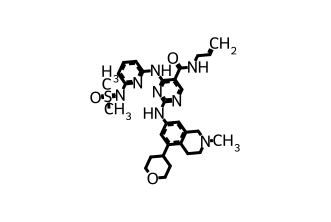 C=CCNC(=O)c1cnc(Nc2cc3c(c(C4CCOCC4)c2)CCN(C)C3)nc1Nc1cccc(N=S(C)(C)=O)n1